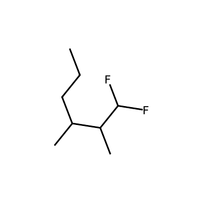 CCCC(C)C(C)C(F)F